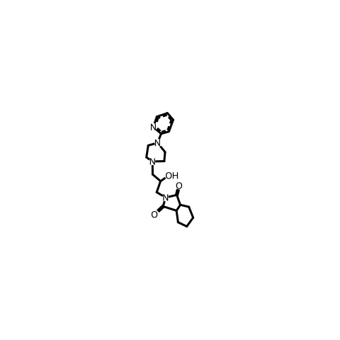 O=C1C2CCCCC2C(=O)N1CC(O)CN1CCN(c2ccccn2)CC1